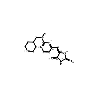 CN(CC1CCNCC1)c1nccc(C=C2SC(=O)NC2=O)n1